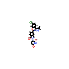 O=C1CCC(N2Cc3cc(C(=O)NC(c4ccc(Cl)cc4)C4CC4)ccc3C2=O)C(=O)N1